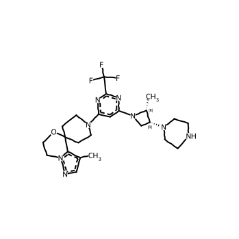 Cc1cnn2c1C1(CCN(c3cc(N4C[C@@H](N5CCNCC5)[C@H]4C)nc(C(F)(F)F)n3)CC1)OCC2